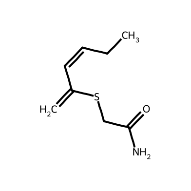 C=C(/C=C\CC)SCC(N)=O